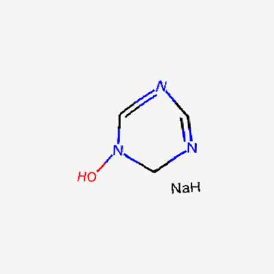 ON1C=NC=NC1.[NaH]